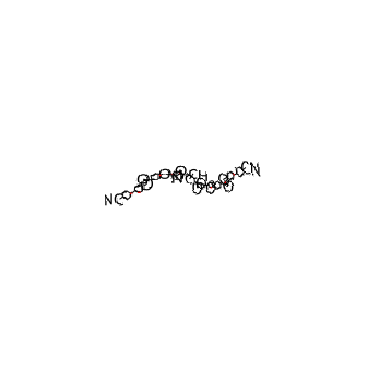 CC(C#N)(CCC(=O)OCCOc1ccc(C(=O)Oc2ccc(-c3ccc(C#N)cc3)cc2)cc1)CCC(=O)OCCOc1ccc(C(=O)Oc2ccc(-c3ccc(C#N)cc3)cc2)cc1